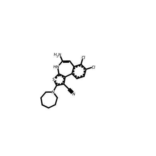 N#Cc1c(N2CCCCCC2)sc2c1-c1ccc(Cl)c(Cl)c1C=C(N)N2